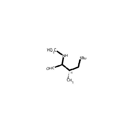 C[C@@H](CC(C)(C)C)C(C=O)NC(=O)O